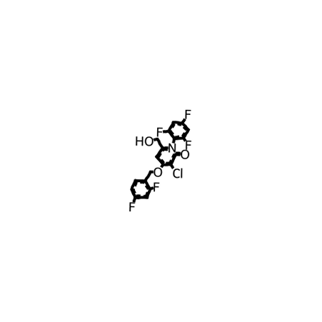 O=c1c(Cl)c(OCc2ccc(F)cc2F)cc(CO)n1-c1c(F)cc(F)cc1F